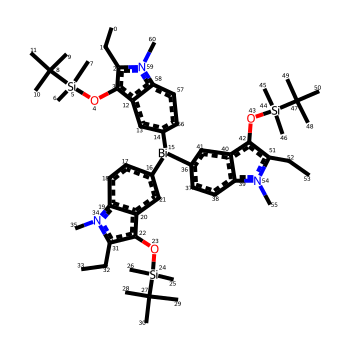 CCc1c(O[Si](C)(C)C(C)(C)C)c2c[c]([Bi]([c]3ccc4c(c3)c(O[Si](C)(C)C(C)(C)C)c(CC)n4C)[c]3ccc4c(c3)c(O[Si](C)(C)C(C)(C)C)c(CC)n4C)ccc2n1C